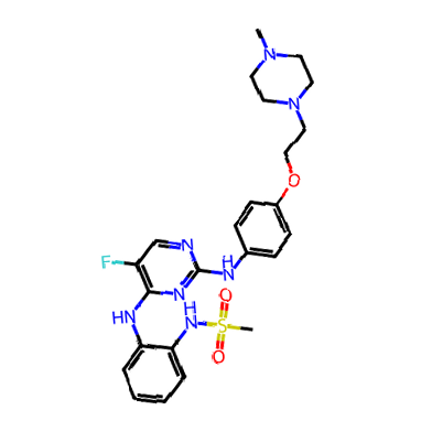 CN1CCN(CCOc2ccc(Nc3ncc(F)c(Nc4ccccc4NS(C)(=O)=O)n3)cc2)CC1